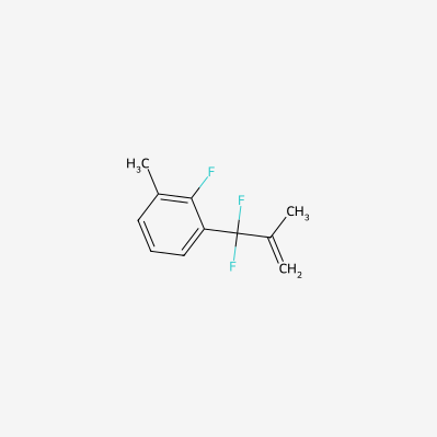 C=C(C)C(F)(F)c1cccc(C)c1F